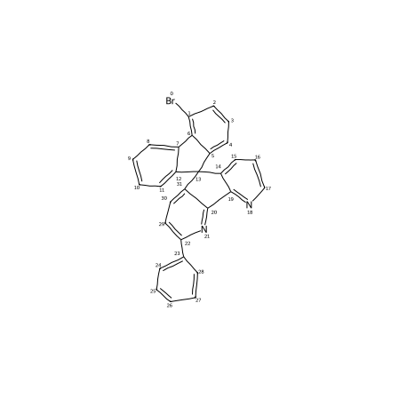 Brc1cccc2c1-c1ccccc1C21c2cccnc2-c2nc(-c3ccccc3)ccc21